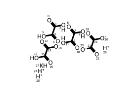 O=C(O)C(=O)O.O=C(O)C(=O)O.O=C([O-])C(=O)O.O=C([O-])C(=O)[O-].[H+].[H+].[H+].[KH]